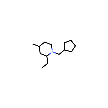 CCC1CC(C)CCN1CC1CCCC1